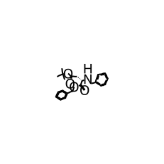 CC(C)(C)OC(=O)C[C@H](NCc1ccccc1)C(=O)OCc1ccccc1